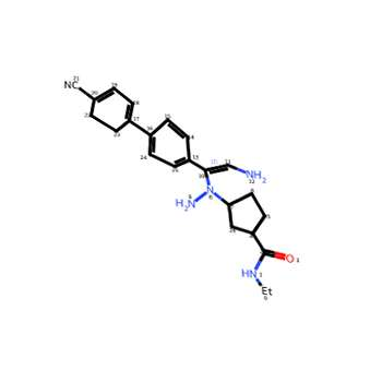 CCNC(=O)C1CCC(N(N)/C(=C\N)c2ccc(C3=CC=C(C#N)CC3)cc2)C1